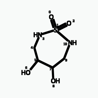 O=S1(=O)NCC(O)C(O)CN1